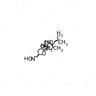 CC(=O)O[C@@H]1CC/C(=C\C=N\O)CO[C@@]1(C)CCCC(C)C(C)(O)CC=C(C)C